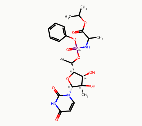 [2H]C(O[P@@](=O)(NC(C)C(=O)OC(C)C)Oc1ccccc1)[C@H]1O[C@@H](n2ccc(=O)[nH]c2=O)[C@](C)(O)[C@@H]1O